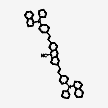 N#Cc1c2ccc(C=Cc3ccc(N(c4ccccc4)c4cccc5ccccc45)cc3)cc2cc2ccc(C=Cc3ccc(N(c4ccccc4)c4cccc5ccccc45)cc3)cc12